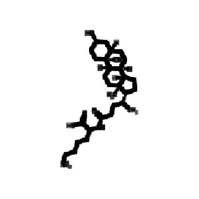 CC(CCC(=O)NC(CCCCN)C(=O)O)[C@H]1CC[C@H]2[C@@H]3CC[C@@H]4C[C@H](O)CC[C@]4(C)[C@H]3CC[C@]12C